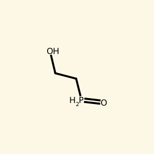 O=[PH2]CCO